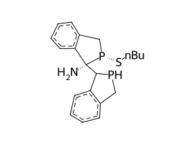 CCCCS[P@@]1Cc2ccccc2[C@]1(N)C1PCc2ccccc21